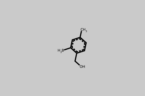 Bc1cc(C)ccc1CO